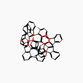 Cc1ccccc1N(C1=C(C2=CC=C3C(=Cc4ccccc43)C23C=CC=C2C3=Cc3ccccc32)C(c2c(C)cccc2-c2ccccc2)=C2C(=Cc3cccc(-c4ccccc4-c4ccccc4)c32)C12C=CC=C1C2=Cc2ccccc21)c1ccccc1-c1ccccc1